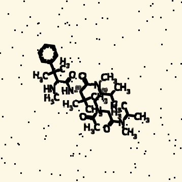 CNC(C(=O)N[C@H](C(=O)N(C)[C@H](CN(CC(=O)N(C)C(C)C)C(C)=O)C(C)C)C(C)(C)C)C(C)(C)c1ccccc1